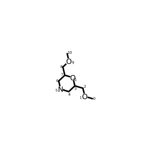 COCC1C[N]CC(COC)O1